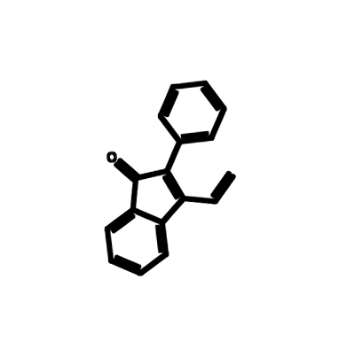 C=CC1=C(c2ccccc2)C(=O)c2ccccc21